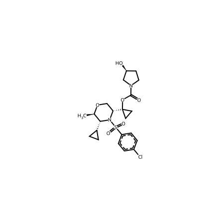 C[C@H]1OC[C@H](C2(OC(=O)N3CC[C@H](O)C3)CC2)N(S(=O)(=O)c2ccc(Cl)cc2)[C@@H]1C1CC1